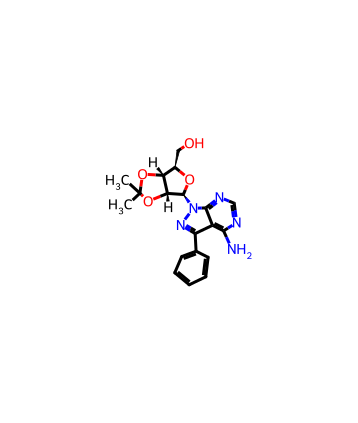 CC1(C)O[C@@H]2[C@H](O1)[C@@H](CO)O[C@H]2n1nc(-c2ccccc2)c2c(N)ncnc21